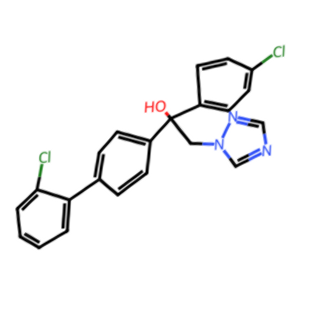 OC(Cn1cncn1)(c1ccc(Cl)cc1)c1ccc(-c2ccccc2Cl)cc1